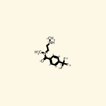 CNCCN(C)C(=O)c1ccc(C(F)(F)F)cc1